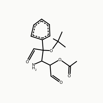 CC(=O)OC(C=O)C(N)C(C=O)(OC(C)(C)C)c1ccccc1